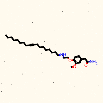 CCCCCCCCC#CCCCCCCCCNCCOc1ccc(CC(N)=O)cc1OC